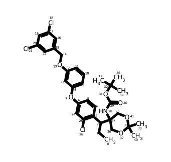 CCC(c1ccc(Oc2cccc(OCc3cc(Cl)cc(Cl)c3)c2)cc1Cl)C1(NC(=O)OC(C)(C)C)COC(C)(C)OC1